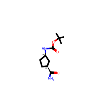 CC(C)(C)OC(=O)N[C@@H]1CC[C@H](C(N)=O)C1